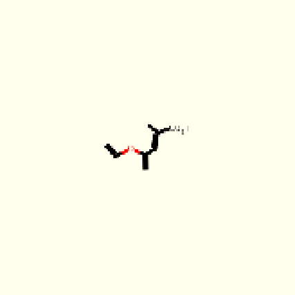 C=COC(=C)C=C(C)C(=O)O